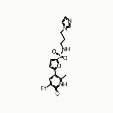 CCc1cc(-c2ccc(S(=O)(=O)NCCCn3ccnc3)o2)c(C)[nH]c1=O